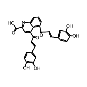 O=C(O)c1cc(C(=O)C=Cc2ccc(O)c(O)c2)c2c(C(=O)C=Cc3ccc(O)c(O)c3)cccc2n1